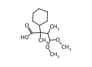 COC(OC)C(C)C(C)(C(=O)O)C1CCCCC1